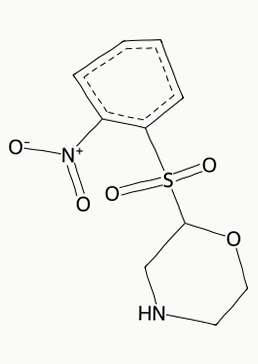 O=[N+]([O-])c1ccccc1S(=O)(=O)C1CNCCO1